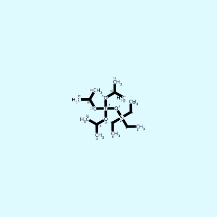 CC[Si](CC)(CC)[O][Ti]([O]C(C)C)([O]C(C)C)[O]C(C)C